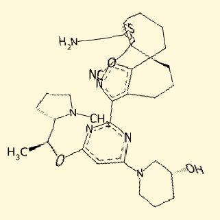 C[C@H](Oc1cc(N2CCC[C@@H](O)C2)nc(-c2noc3c2CCC[C@@]32CCCc3sc(N)c(C#N)c32)n1)[C@@H]1CCCN1C